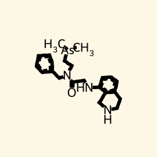 C[As](C)CCN(Cc1ccccc1)C(=O)CNc1cccc2c1CNCC2